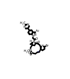 CC(=O)c1nn(CC(=O)N2[C@H]3C[C@]4(C[C@@H]24)CN(C)S(=O)(=O)CC/C=C/c2ccc(Br)nc2CC3=O)c2ccc(-c3cnc(C)nc3)cc12